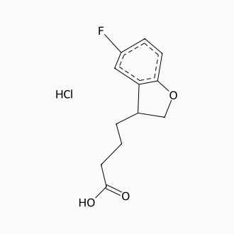 Cl.O=C(O)CCCC1COc2ccc(F)cc21